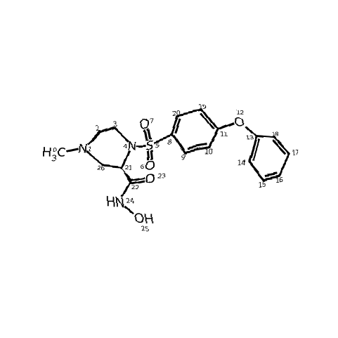 CN1CCN(S(=O)(=O)c2ccc(Oc3ccccc3)cc2)[C@@H](C(=O)NO)C1